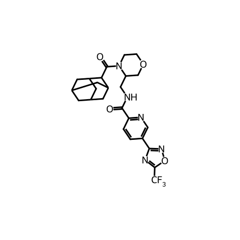 O=C(NCC1COCCN1C(=O)C1C2CC3CC(C2)CC1C3)c1ccc(-c2noc(C(F)(F)F)n2)cn1